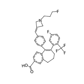 O=C(O)c1ccc2c(c1)CCCC(c1cc(F)ccc1C(F)(F)F)=C2c1ccc(C=C2CN(CCCF)C2)cc1